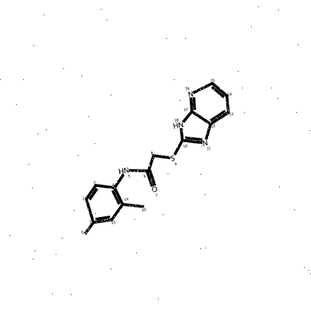 Cc1ccc(NC(=O)CSc2nc3cccnc3[nH]2)c(C)c1